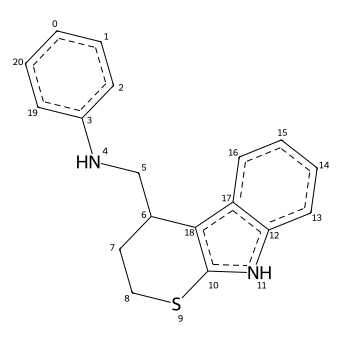 c1ccc(NCC2CCSc3[nH]c4ccccc4c32)cc1